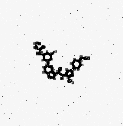 CC(C)(C)OC(=O)N[C@@H]1C[C@@H](F)CN(c2ccn3ncc(C(=O)Nc4cn(C5CCC(CO)CC5)nc4C(F)(F)F)c3n2)C1